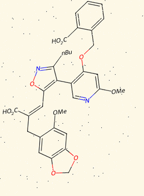 CCCCc1noc(C=C(Cc2cc3c(cc2OC)OCO3)C(=O)O)c1-c1cnc(OC)cc1OCc1ccccc1C(=O)O